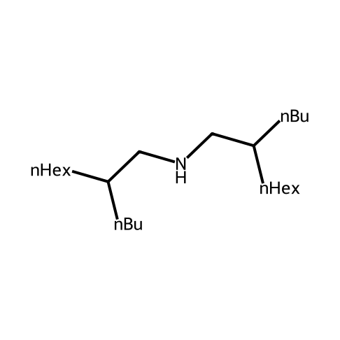 CCCCCCC(CCCC)CNCC(CCCC)CCCCCC